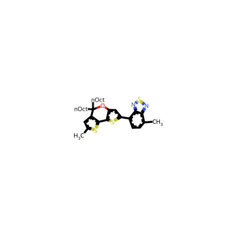 CCCCCCCCC1(CCCCCCCC)Oc2cc(-c3ccc(C)c4nsnc34)sc2-c2sc(C)cc21